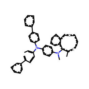 C=C(/C=C\C(=C/C)N(c1ccc(-c2ccccc2)cc1)c1ccc(N(C)c2c(C)ccccccc3ccccc23)cc1)c1ccccc1